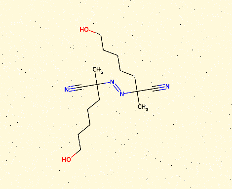 CC(C#N)(CCCCCO)N=NC(C)(C#N)CCCCCO